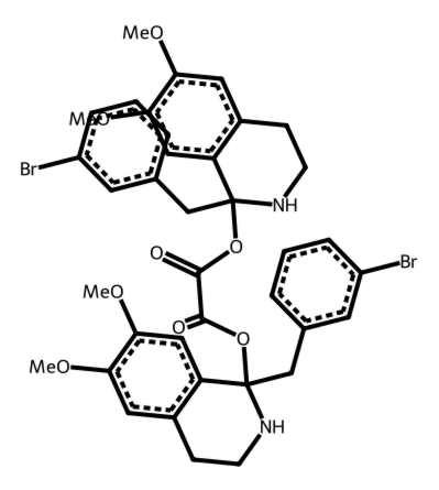 COc1cc2c(cc1OC)C(Cc1cccc(Br)c1)(OC(=O)C(=O)OC1(Cc3cccc(Br)c3)NCCc3cc(OC)c(OC)cc31)NCC2